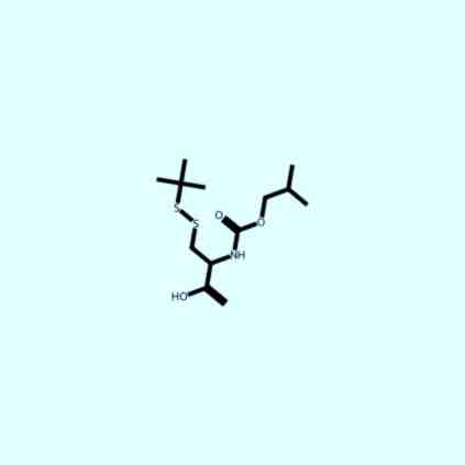 C=C(O)C(CSSC(C)(C)C)NC(=O)OCC(C)C